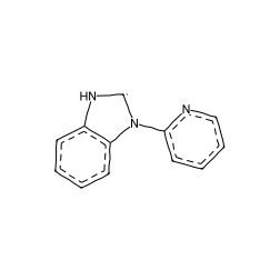 [CH]1Nc2ccccc2N1c1ccccn1